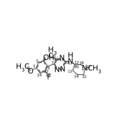 COc1cc(O)c(-c2nnc(N[C@@H]3CCCN(C)C3)nc2C)c(F)c1